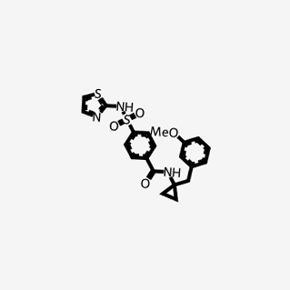 COc1cccc(CC2(NC(=O)c3ccc(S(=O)(=O)Nc4nccs4)cc3)CC2)c1